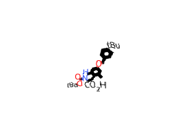 Cc1cc(OCc2ccc(C(C)(C)C)cc2)cc(C)c1CC(NC(=O)OC(C)(C)C)C(=O)O